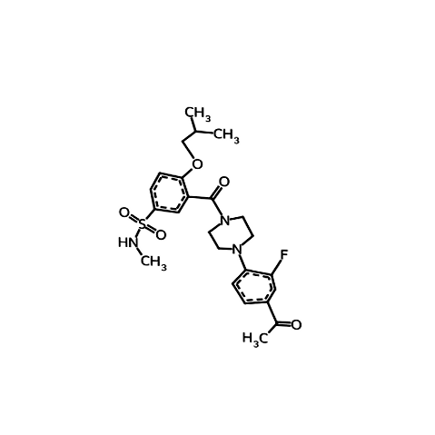 CNS(=O)(=O)c1ccc(OCC(C)C)c(C(=O)N2CCN(c3ccc(C(C)=O)cc3F)CC2)c1